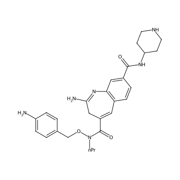 CCCN(OCc1ccc(N)cc1)C(=O)C1=Cc2ccc(C(=O)NC3CCNCC3)cc2N=C(N)C1